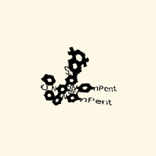 CCCCCc1ccc(Nc2cc3c(cc2-c2cc(N4c5ccccc5Oc5ccccc54)c4c5ccccc5n5c4c2Bc2cc(CCCCC)ccc2-5)sc2cc4c(cc23)C(C)(C)CCC4(C)C)cc1